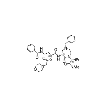 CNC(=O)[C@H](C(C)C)N1CCN(Cc2ccccc2)C[C@H](NC(=O)[C@H](CCNC(=O)c2ccccc2)SC(=O)CN2CCOCC2)C1=O